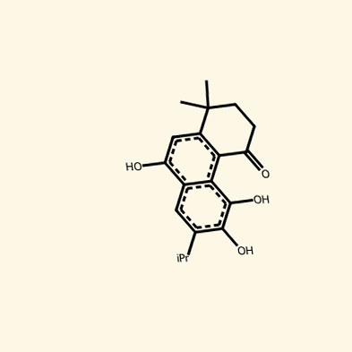 CC(C)c1cc2c(O)cc3c(c2c(O)c1O)C(=O)CCC3(C)C